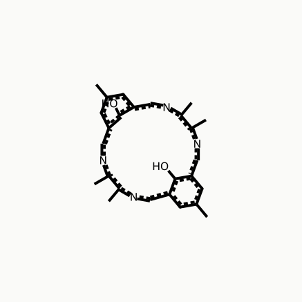 Cc1cc2cnc(C)c(C)ncc3cc(C)cc(cnc(C)c(C)ncc(c1)c2O)c3O